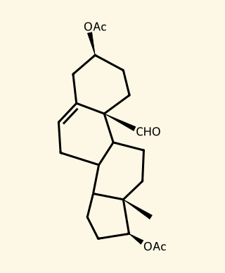 CC(=O)O[C@H]1CC[C@@]2(C=O)C(=CCC3C2CC[C@@]2(C)C3CC[C@@H]2OC(C)=O)C1